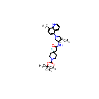 Cc1ccc(N2C[C@@H](C)[C@@H](NC(=O)CC3(F)CCN(C(=O)OC(C)(C)C)CC3)C2)c2cccnc12